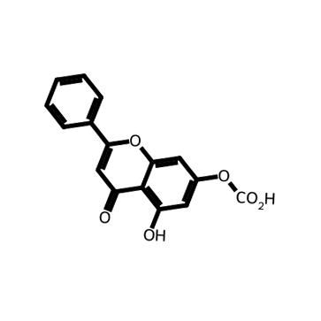 O=C(O)Oc1cc(O)c2c(=O)cc(-c3ccccc3)oc2c1